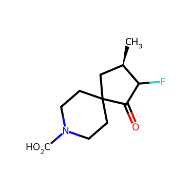 C[C@@H]1CC2(CCN(C(=O)O)CC2)C(=O)C1F